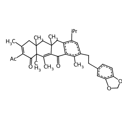 CC(=O)C1=C(C)CC2(C)CC3(C)Cc4c(C(C)C)cc(CCc5ccc6c(c5)OCO6)c(C)c4C(=O)C3=C(C)C2(C)C1=O